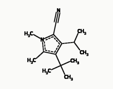 Cc1c(C(C)(C)C)c(C(C)C)c(C#N)n1C